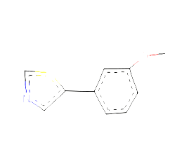 COc1cccc(-c2cncs2)c1